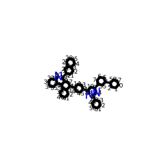 c1ccc(-c2cccc(-c3cc(-c4ccc(-c5cc6c(-c7ccc8ccccc8c7)nc7ccccc7c6c6ccccc56)cc4)nc(-c4ccccc4)n3)c2)cc1